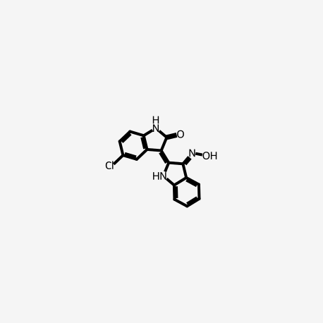 O=C1Nc2ccc(Cl)cc2C1=C1Nc2ccccc2C1=NO